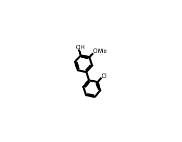 COc1cc(-c2ccccc2Cl)ccc1O